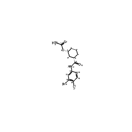 NC(=O)O[C@@H]1CCC[C@H](C(=O)Nc2cc(Br)c(Cl)cn2)C1